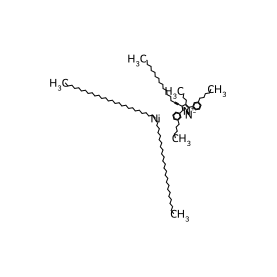 CCCCCCCCCCCCCCCC#CC1=C(c2cccc(CCCCC)c2)[N+](=[N-])C(c2cccc(CCCCC)c2)=C1CCCC.CCCCCCCCCCCCCCCCCCCCCCCCCC[CH2][Ni][CH2]CCCCCCCCCCCCCCCCCCCCCCCCCC